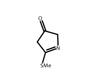 CSC1=NCC(=O)C1